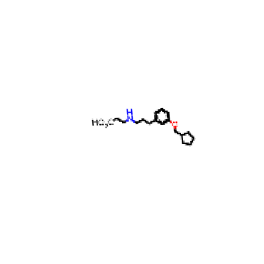 O=C(O)CCNCCCc1cccc(OCC2CCCC2)c1